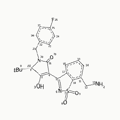 CC(C)(C)[C@H]1C(O)=C(C2=NS(=O)(=O)c3c(CN)cccc32)C(=O)N1Cc1ccc(F)cc1